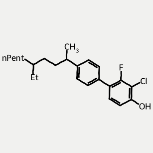 CCCCCC(CC)CCC(C)c1ccc(-c2ccc(O)c(Cl)c2F)cc1